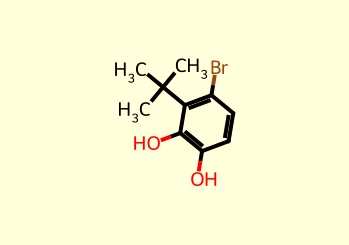 CC(C)(C)c1c(Br)ccc(O)c1O